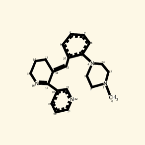 CN1CCN(c2ccccc2C=C2CCCN=C2c2cccnc2)CC1